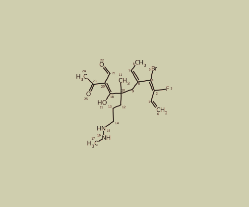 C=C/C(F)=C(Br)\C(=C/C)CC(C)(CCCNNC)/C(O)=C(\C=O)C(C)=O